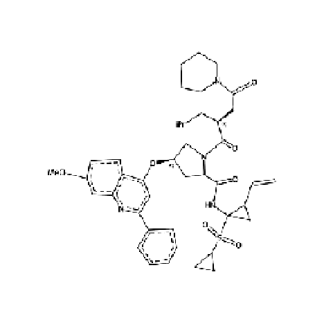 C=CC1CC1(NC(=O)C1C[C@@H](Oc2cc(-c3ccccc3)nc3cc(OC)ccc23)CN1C(=O)[C@H](CC(=O)N1CCCCC1)CC(C)C)S(=O)(=O)C1CC1